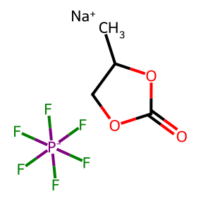 CC1COC(=O)O1.F[P-](F)(F)(F)(F)F.[Na+]